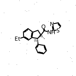 CCc1ccc2c(c1)[C@H](c1ccccc1)[C@](C)(C(=O)Nc1nccs1)C2